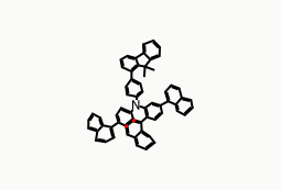 CC1(C)c2ccccc2-c2cccc(-c3ccc(N(c4ccc(-c5cccc6ccccc56)cc4)c4cc(-c5cccc6ccccc56)ccc4-c4cccc5ccccc45)cc3)c21